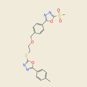 Cc1ccc(-c2nnc(SCCOCc3ccc(-c4nnc(S(C)(=O)=O)o4)cc3)o2)cc1